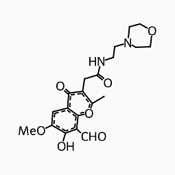 COc1cc2c(=O)c(CC(=O)NCCN3CCOCC3)c(C)oc2c(C=O)c1O